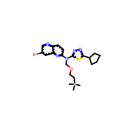 C[Si](C)(C)CCOCN(c1ccc2ncc(Br)cc2n1)c1nnc(C2CCCC2)s1